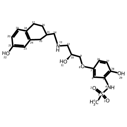 CS(=O)(=O)Nc1cc(OC[C@@H](O)CNCC2CCc3ccc(O)cc3C2)ccc1O